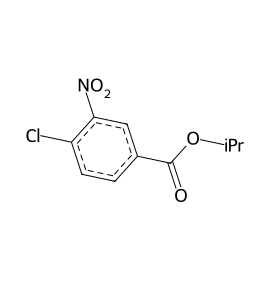 CC(C)OC(=O)c1ccc(Cl)c([N+](=O)[O-])c1